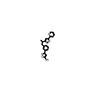 CC(C)c1cc(-c2cccc(CC(C)c3cc(-c4ccccn4)no3)c2)no1